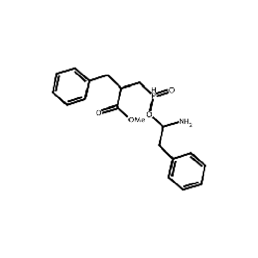 COC(=O)C(Cc1ccccc1)C[PH](=O)OC(N)Cc1ccccc1